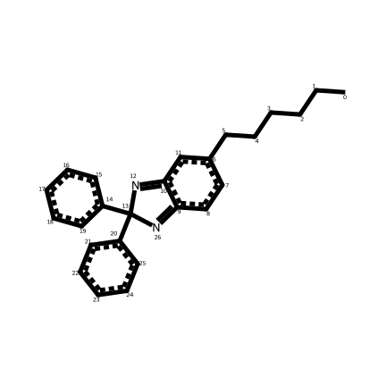 CCCCCCc1ccc2c(c1)=NC(c1ccccc1)(c1ccccc1)N=2